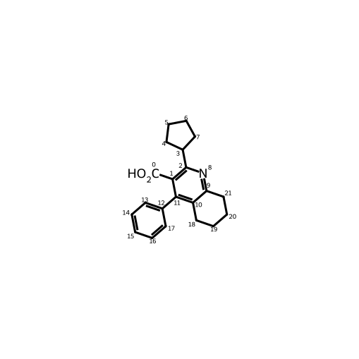 O=C(O)c1c(C2CCCC2)nc2c(c1-c1ccccc1)CCCC2